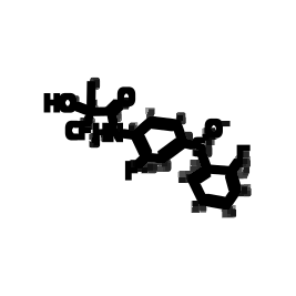 C[C@@](O)(C(=O)Nc1ccc([S+]([O-])c2ccccc2F)cc1F)C(F)(F)F